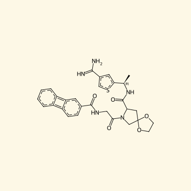 C[C@@H](NC(=O)C1CC2(CN1C(=O)CNC(=O)c1ccc3c(c1)=c1ccccc1=3)OCCO2)c1cc(C(=N)N)cs1